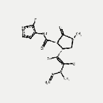 C=NN(C)/C(Cl)=C(\Br)[C@H]1CN(C)C(=O)[C@@H]1C(=O)Nc1ccsc1F